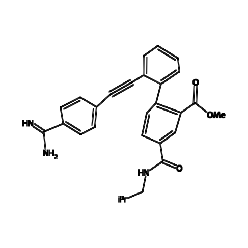 COC(=O)c1cc(C(=O)NCC(C)C)ccc1-c1ccccc1C#Cc1ccc(C(=N)N)cc1